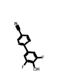 N#Cc1ccc(-c2cc(F)c(O)c(F)c2)cc1